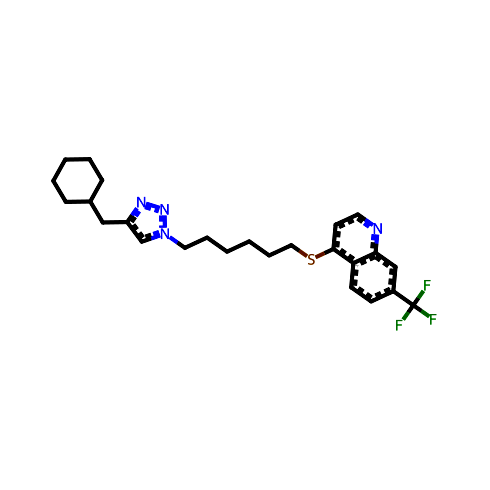 FC(F)(F)c1ccc2c(SCCCCCCn3cc(CC4CCCCC4)nn3)ccnc2c1